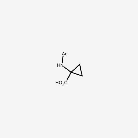 [CH2]C(=O)NC1(C(=O)O)CC1